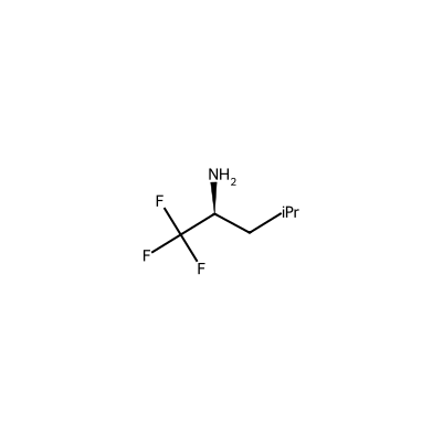 CC(C)C[C@H](N)C(F)(F)F